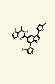 CCc1cnnn1-c1cc(C(=O)NC(C)c2nnc[nH]2)cn2c(-c3ccc(C)o3)cnc12